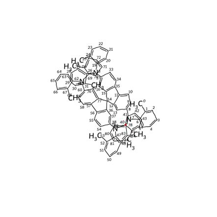 Cc1ccccc1N(c1ccc2c(c1)C1(c3cc(N(c4ccccc4C)c4ccccc4C)ccc3-2)c2cc(N(c3ccccc3C)c3ccccc3C)ccc2-c2ccc(N(c3ccccc3C)c3ccccc3C)cc21)c1ccccc1C